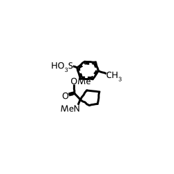 CNC1(C(=O)OC)CCCC1.Cc1ccc(S(=O)(=O)O)cc1